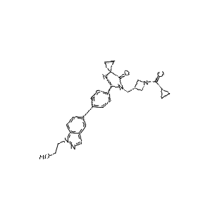 O=C(C1CC1)N1CC(CN2C(=O)C3(CC3)N=C2c2ccc(-c3ccc4c(cnn4CCO)c3)cc2)C1